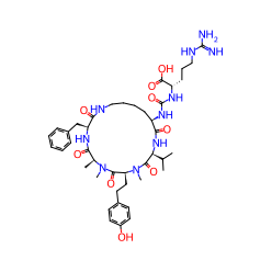 CC(C)[C@@H]1NC(=O)[C@H](NC(=O)N[C@@H](CCCNC(=N)N)C(=O)O)CCCCNC(=O)[C@H](Cc2ccccc2)NC(=O)[C@H](C)N(C)C(=O)[C@H](CCc2ccc(O)cc2)N(C)C1=O